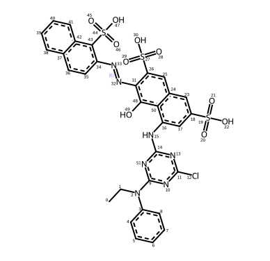 CCN(c1ccccc1)c1nc(Cl)nc(Nc2cc(S(=O)(=O)O)cc3cc(S(=O)(=O)O)c(/N=N/c4ccc5ccccc5c4S(=O)(=O)O)c(O)c23)n1